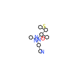 c1ccc(-c2nc(-c3ccc(-c4cccnc4)cc3)nc(-c3ccc(-c4cccc5sc6ccccc6c45)c4c3oc3ccccc34)n2)cc1